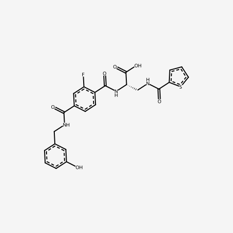 O=C(NCc1cccc(O)c1)c1ccc(C(=O)N[C@@H](CNC(=O)c2cccs2)C(=O)O)c(F)c1